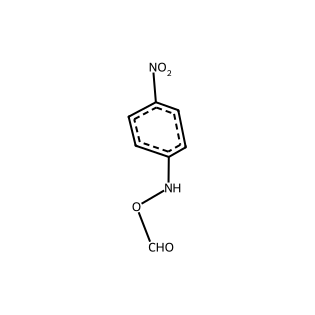 O=CONc1ccc([N+](=O)[O-])cc1